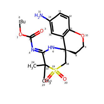 CC(C)(C)OC(=O)/N=C1\N[C@@]2(CCOc3ccc(N)cc32)CS(=O)(=O)C1(C)C